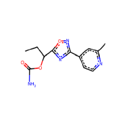 CCC(OC(N)=O)c1nc(-c2ccnc(C)c2)no1